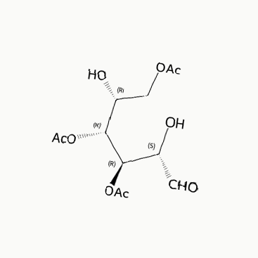 CC(=O)OC[C@@H](O)[C@@H](OC(C)=O)[C@H](OC(C)=O)[C@H](O)C=O